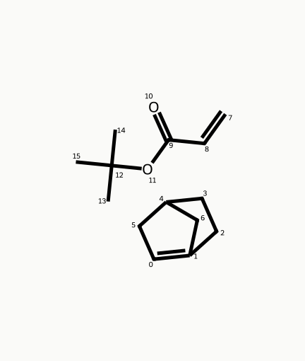 C1=C2CCC(C1)C2.C=CC(=O)OC(C)(C)C